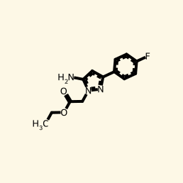 CCOC(=O)Cn1nc(-c2ccc(F)cc2)cc1N